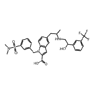 CC(Cc1ccc2c(c1)cc(C(=O)O)n2Cc1cccc(S(=O)(=O)N(C)C)c1)NCC(O)c1cccc(C(F)(F)F)c1